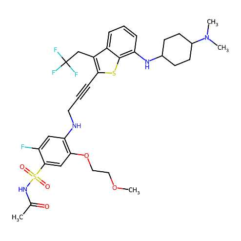 COCCOc1cc(S(=O)(=O)NC(C)=O)c(F)cc1NCC#Cc1sc2c(NC3CCC(N(C)C)CC3)cccc2c1CC(F)(F)F